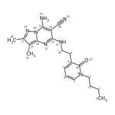 CCCCn1cccc(CCNc2nc3c(C)c(C)nn3c(N)c2C#N)c1=O